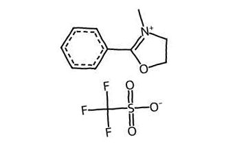 C[N+]1=C(c2ccccc2)OCC1.O=S(=O)([O-])C(F)(F)F